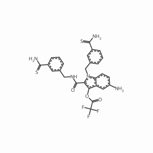 NC(=S)c1cccc(CNC(=O)c2c(OC(=O)C(F)(F)F)c3cc(N)ccc3n2Cc2cccc(C(N)=S)c2)c1